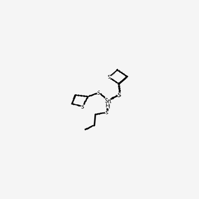 CCC[S][SnH]([S]C1CCS1)[S]C1CCS1